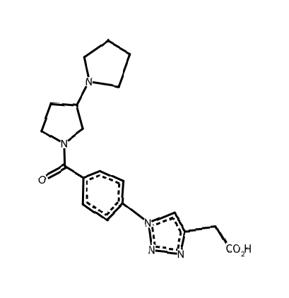 O=C(O)Cc1cn(-c2ccc(C(=O)N3CCC(N4CCCC4)C3)cc2)nn1